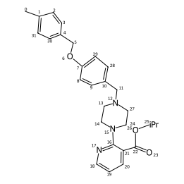 Cc1ccc(COc2ccc(CN3CCN(c4ncccc4C(=O)OC(C)C)CC3)cc2)cc1